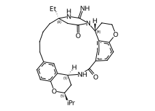 CC[C@]12CCCCc3ccc4c(c3)[C@H](C[C@@H](C(C)C)O4)NC(=O)c3ccc4c(c3)[C@@H](CCO4)N(C(=N)N1)C(=O)C2